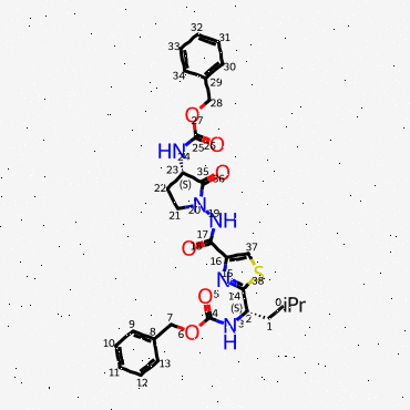 CC(C)C[C@H](NC(=O)OCc1ccccc1)c1nc(C(=O)NN2CC[C@H](NC(=O)OCc3ccccc3)C2=O)cs1